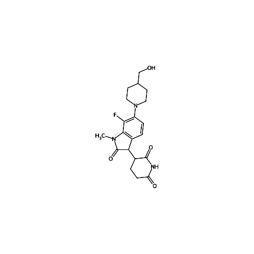 CN1C(=O)C(C2CCC(=O)NC2=O)c2ccc(N3CCC(CO)CC3)c(F)c21